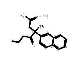 CCCC(=O)C(N)(CC(N)=O)c1ccc2ccccc2c1.Cl